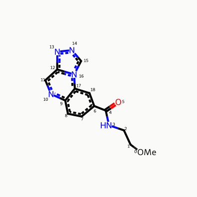 COCCNC(=O)c1ccc2ncc3nncn3c2c1